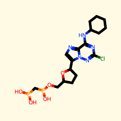 OP(O)CP(O)OCC1CCC(c2cnc3c(NC4CCCCC4)nc(Cl)nn23)O1